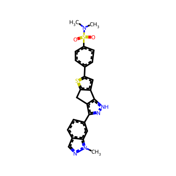 CN(C)S(=O)(=O)c1ccc(-c2cc3c(s2)Cc2c(-c4ccc5cnn(C)c5c4)n[nH]c2-3)cc1